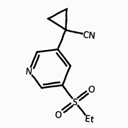 CCS(=O)(=O)c1cncc(C2(C#N)CC2)c1